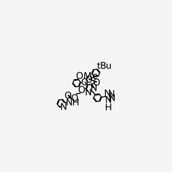 COc1ccccc1Oc1c(OCCOC(=O)Nc2ccccn2)nc(-c2cccc(-c3nnn[nH]3)c2)nc1S(=O)(=O)c1ccc(C(C)(C)C)cc1